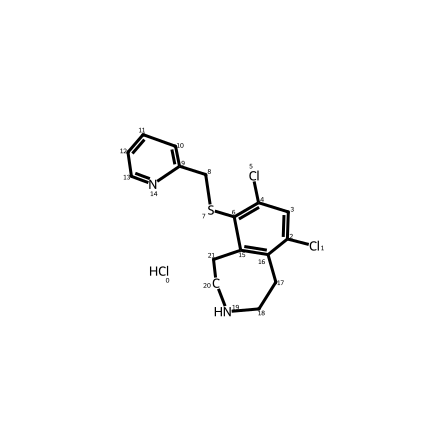 Cl.Clc1cc(Cl)c(SCc2ccccn2)c2c1CCNCC2